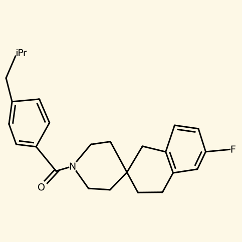 CC(C)Cc1ccc(C(=O)N2CCC3(CCc4cc(F)ccc4C3)CC2)cc1